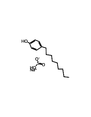 CCCCCCCCCc1ccc(O)cc1.O=S([O-])O.[Na+]